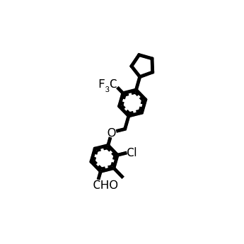 Cc1c(C=O)ccc(OCc2ccc(C3CCCC3)c(C(F)(F)F)c2)c1Cl